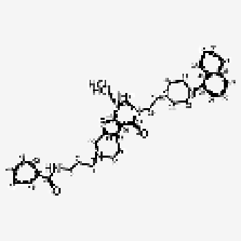 Cl.Cl.Cl.O=C(NCCCN1CCc2c(sc3ncn(CCN4CCN(c5cccc6ccccc56)CC4)c(=O)c23)C1)c1ccccc1